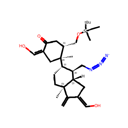 C=C1C(=CO)C[C@H]2[C@H](CN=[N+]=[N-])[C@@H]([C@@]3(C)CC(=CO)C(=O)C[C@@H]3CO[Si](C)(C)C(C)(C)C)CC[C@]12C